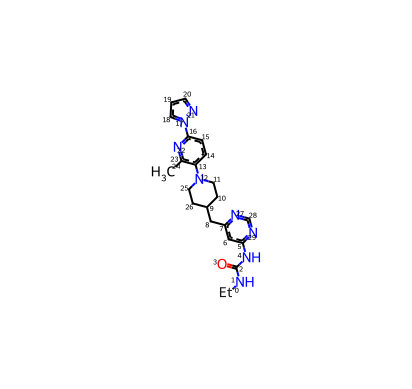 CCNC(=O)Nc1cc(CC2CCN(c3ccc(-n4cccn4)nc3C)CC2)ncn1